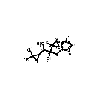 CC(C1CC1(Cl)Cl)C(O)(Cn1cncn1)C1(Cl)CC1